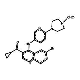 O=[C]N1CCN(c2ccc(Nc3c(C(=O)C4CC4)cnc4ccc(Br)cc34)cn2)CC1